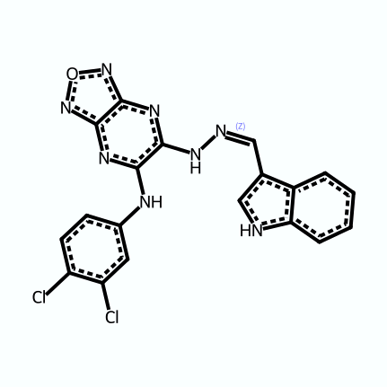 Clc1ccc(Nc2nc3nonc3nc2N/N=C\c2c[nH]c3ccccc23)cc1Cl